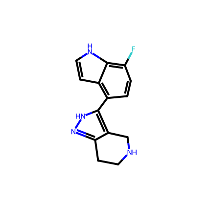 Fc1ccc(-c2[nH]nc3c2CNCC3)c2cc[nH]c12